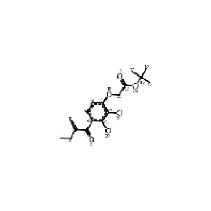 C=C(CC)C(=O)c1ccc(OCC(=O)OC(C)(C)C)c(Cl)c1Cl